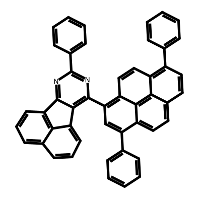 c1ccc(-c2nc(-c3cc(-c4ccccc4)c4ccc5ccc(-c6ccccc6)c6ccc3c4c56)c3c(n2)-c2cccc4cccc-3c24)cc1